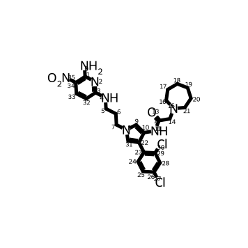 Nc1nc(NCCCn2cc(NC(=O)CN3CCCCCC3)c(-c3ccc(Cl)cc3Cl)c2)ccc1[N+](=O)[O-]